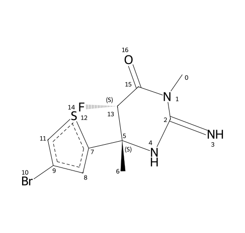 CN1C(=N)N[C@](C)(c2cc(Br)cs2)[C@H](F)C1=O